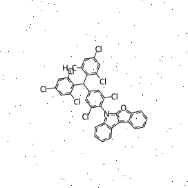 Cc1cc(Cl)cc(Cl)c1C(c1cc(Cl)c(-n2c3ccccc3c3c4ccccc4oc32)c(Cl)c1)c1c(Cl)cc(Cl)cc1Cl